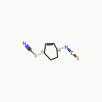 N#CS[C@@H]1C=C[C@H](N=C=S)CC1